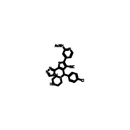 [C-]#[N+]c1c(-c2ccnc(NC(C)=O)c2)sc(-c2nnc[nH]2)c1C(c1ccc(Cl)cc1)N1CCNCC1